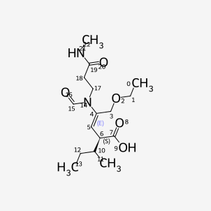 CCOC/C(=C\[C@@H](C(=O)O)C(C)CC)N(C=O)CCC(=O)NC